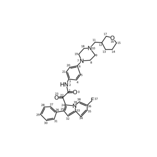 O=C(Nc1ccc(N2CCN(CC3CCCOC3)CC2)cc1)C(=O)c1c(-c2ccccc2)cc2ccc(F)cn12